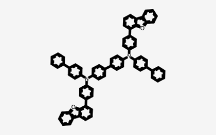 c1ccc(-c2ccc(N(c3ccc(-c4ccc(N(c5ccc(-c6ccccc6)cc5)c5ccc(-c6cccc7c6oc6ccccc67)cc5)cc4)cc3)c3ccc(-c4cccc5c4oc4ccccc45)cc3)cc2)cc1